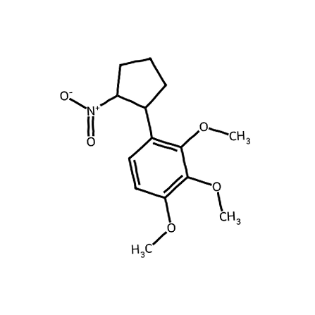 COc1ccc(C2CCCC2[N+](=O)[O-])c(OC)c1OC